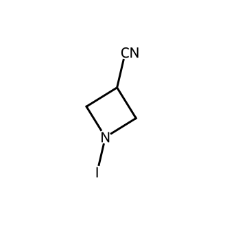 N#CC1CN(I)C1